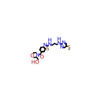 CSc1cnc(NCCCNc2nc3ccc(C(=O)N4CCOCC4CO)cc3s2)nc1